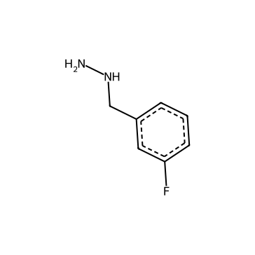 NNCc1cccc(F)c1